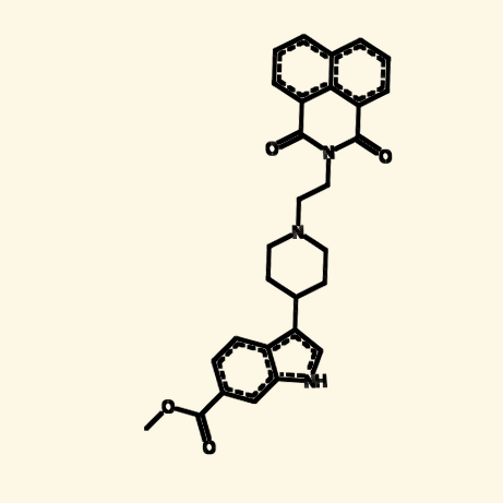 COC(=O)c1ccc2c(C3CCN(CCN4C(=O)c5cccc6cccc(c56)C4=O)CC3)c[nH]c2c1